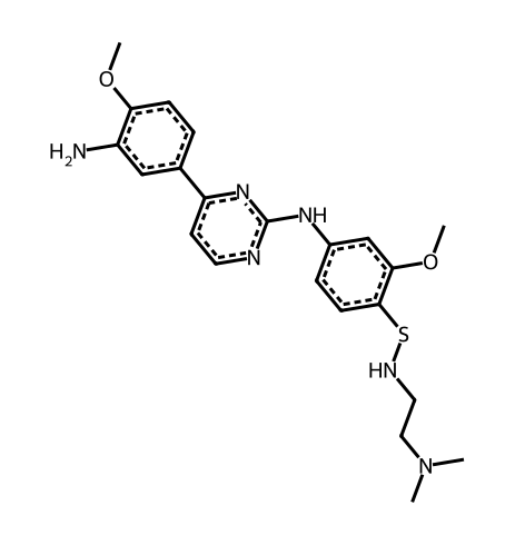 COc1ccc(-c2ccnc(Nc3ccc(SNCCN(C)C)c(OC)c3)n2)cc1N